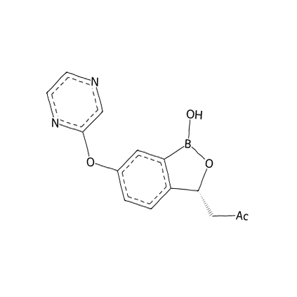 CC(=O)C[C@H]1OB(O)c2cc(Oc3cnccn3)ccc21